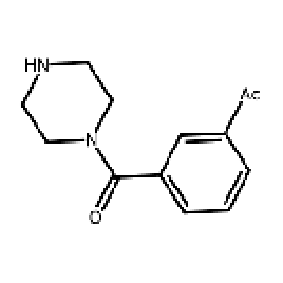 CC(=O)c1cccc(C(=O)N2CCNCC2)c1